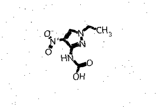 CCn1cc([N+](=O)[O-])c(NC(=O)O)n1